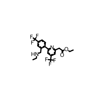 CCNCc1cc(C(F)(F)F)ccc1-c1cc(C(F)(F)F)cc(CC(=O)OCC)n1